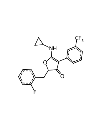 O=C1C(c2cccc(C(F)(F)F)c2)=C(NC2CC2)OC1Cc1ccccc1F